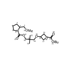 COCC1CCCN1C(=O)OCC(C)(C)COC1CN(C(=O)OCC(C)C)C1